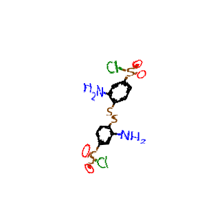 Nc1cc(S(=O)(=O)Cl)ccc1SSc1ccc(S(=O)(=O)Cl)cc1N